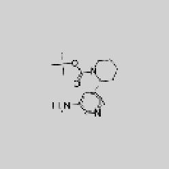 CC(C)(C)OC(=O)N1CCCC[C@@H]1c1cc(N)cnn1